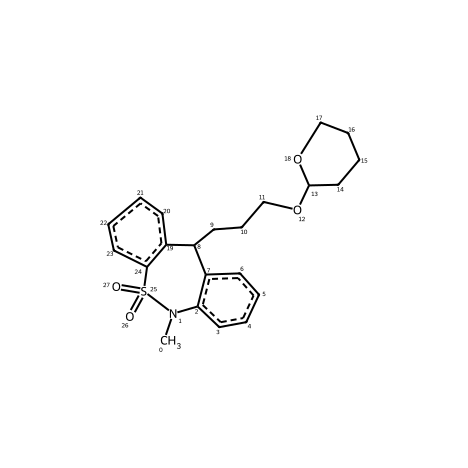 CN1c2ccccc2C(CCCOC2CCCCO2)c2ccccc2S1(=O)=O